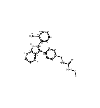 CCNC(=O)NCc1ccc(-n2c(-c3cccnc3N)nc3cccnc32)cc1